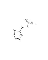 NC(=O)[CH]Cc1ccccc1